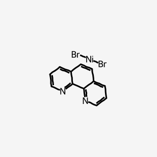 [Br][Ni][Br].c1cnc2c(c1)ccc1cccnc12